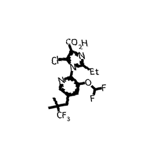 CCc1nc(C(=O)O)c(Cl)n1-c1ncc(CC(C)(C)C(F)(F)F)cc1OC(F)F